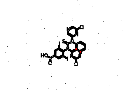 O=C(O)c1cc(I)c(N(C(=S)N(c2ccccc2)c2cncc(Cl)n2)c2cncc(Cl)n2)c(I)c1